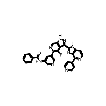 O=C(Nc1cncc(-c2ncc3[nH]nc(-c4nc5c(-c6ccncc6)nccc5[nH]4)c3c2F)c1)c1ccccc1